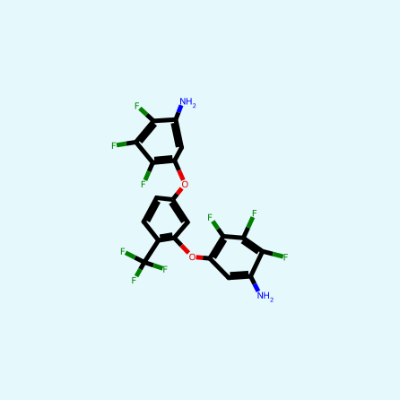 Nc1cc(Oc2ccc(C(F)(F)F)c(Oc3cc(N)c(F)c(F)c3F)c2)c(F)c(F)c1F